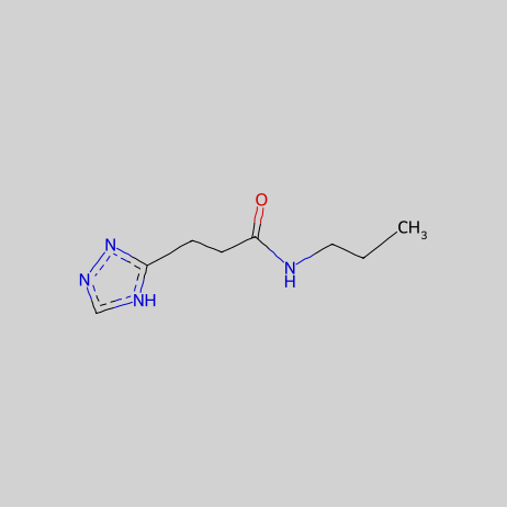 CCCNC(=O)CCc1nnc[nH]1